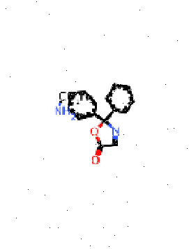 NC(=O)O.O=C1C=NC(c2ccccc2)(c2ccccc2)O1